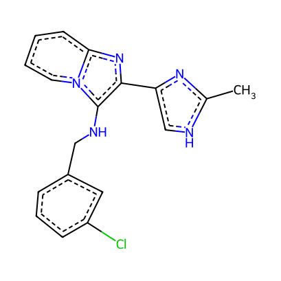 Cc1nc(-c2nc3ccccn3c2NCc2cccc(Cl)c2)c[nH]1